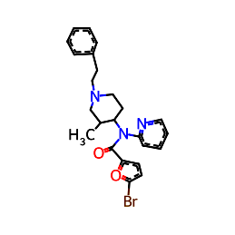 CC1CN(CCc2ccccc2)CCC1N(C(=O)c1ccc(Br)o1)c1ccccn1